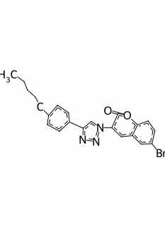 CCCCCc1ccc(-c2cn(-c3cc4cc(Br)ccc4oc3=O)nn2)cc1